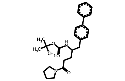 CC(C)(C)OC(=O)NC(CCC(=O)N1CCCC1)Cc1ccc(-c2ccccc2)cc1